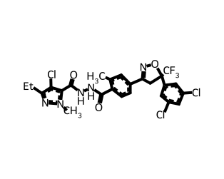 CCc1nn(C)c(C(=O)NNC(=O)c2ccc(C3=NOC(c4cc(Cl)cc(Cl)c4)(C(F)(F)F)C3)cc2C)c1Cl